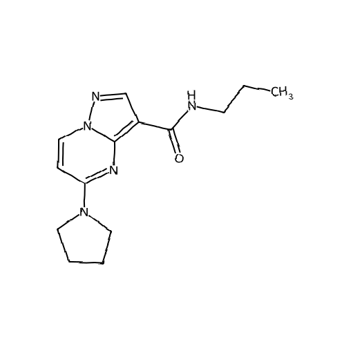 CCCNC(=O)c1cnn2ccc(N3CCCC3)nc12